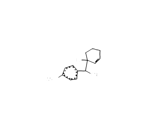 COc1ccc(C(C#N)C2(O)C=CCCC2)cc1